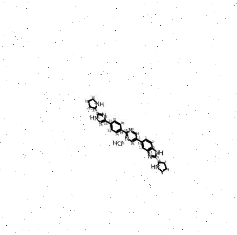 Cl.c1cc2[nH]c([C@@H]3CCCN3)nc2cc1-c1cnc(-c2ccc(-c3c[nH]c([C@@H]4CCCN4)n3)cc2)nc1